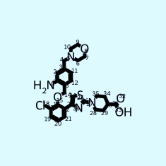 Nc1cc(CN2CCOCC2)ccc1COc1c(Cl)cccc1-c1csc(N2CCC(C(=O)O)CC2)n1